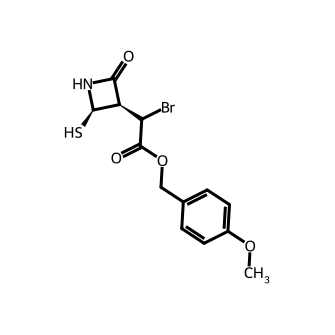 COc1ccc(COC(=O)C(Br)[C@@H]2C(=O)N[C@@H]2S)cc1